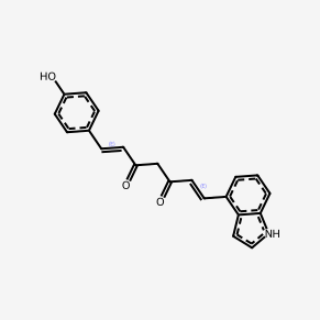 O=C(/C=C/c1ccc(O)cc1)CC(=O)/C=C/c1cccc2[nH]ccc12